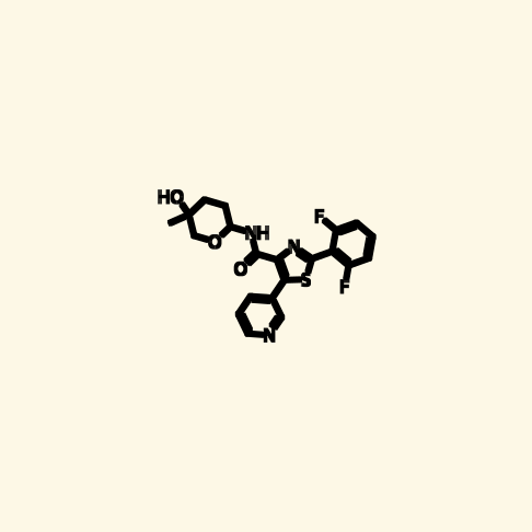 CC1(O)CCC(NC(=O)c2nc(-c3c(F)cccc3F)sc2-c2cccnc2)OC1